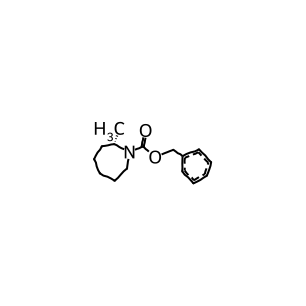 C[C@H]1CCCCCN1C(=O)OCc1ccccc1